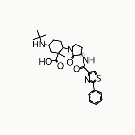 CC(C)(C)NC1CCC(N2CC[C@H](NC(=O)c3csc(-c4ccccc4)n3)C2=O)C(C)(C(=O)O)C1